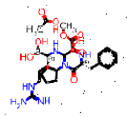 CC(=O)O.COC(=O)CN[C@H](Cc1ccccc1)C(=O)N(C1CCCC1)C(N[C@@H](CCCNC(=N)N)B(O)O)C(=O)O